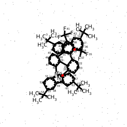 CC(C)(C)c1ccc2c(c1)c1cc(C(C)(C)C)ccc1n2-c1cccc(C#N)c1-c1c(-c2cc(C(F)(F)F)cc(C(F)(F)F)c2)cccc1-n1c2ccc(C(C)(C)C)cc2c2cc(C(C)(C)C)ccc21